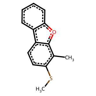 CSc1ccc2c(oc3ccccc32)c1C